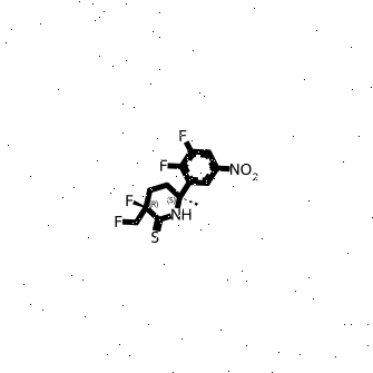 C[C@@]1(c2cc([N+](=O)[O-])cc(F)c2F)CC[C@@](F)(CF)C(=S)N1